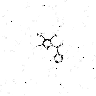 CCCc1nn(C(=O)n2cccn2)c(C(C)C)c1C